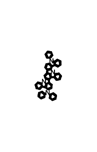 c1ccc(N(c2ccccc2)c2ccc3c4c5c6ccccc6n6c5c(cc4n4c5ccccc5c2c34)c2ccc3c(c4ccccc4n3-c3ccccc3)c26)cc1